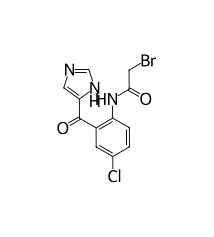 O=C(CBr)Nc1ccc(Cl)cc1C(=O)c1cnc[nH]1